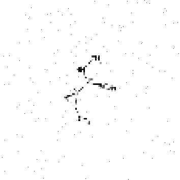 CN[C@@H](C#N)[C@@H]1CC1C